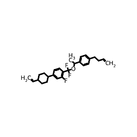 C=CCCc1ccc(C(C)OC(F)(F)c2ccc(C3CCC(C=C)CC3)cc2F)cc1